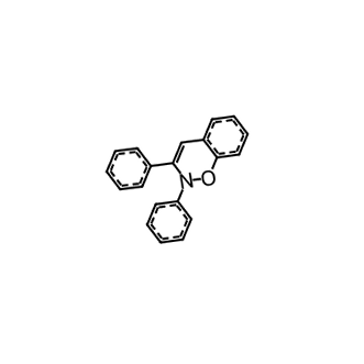 C1=C(c2ccccc2)N(c2ccccc2)Oc2ccccc21